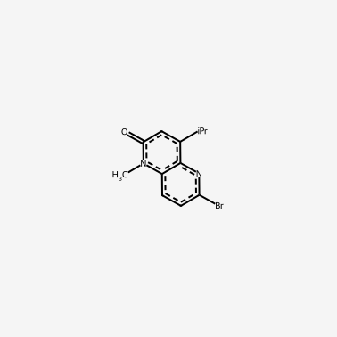 CC(C)c1cc(=O)n(C)c2ccc(Br)nc12